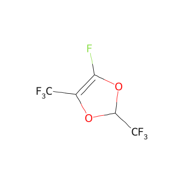 FC1=C(C(F)(F)F)OC(C(F)(F)F)O1